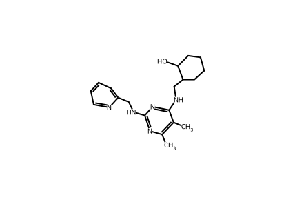 Cc1nc(NCc2ccccn2)nc(NCC2CCCCC2O)c1C